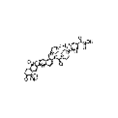 CC[C@@]1(O)C(=O)CCc2c1cc1n(c2=O)Cc2cc3c(CN4CCN(C)CC4)c(OC(=O)N4CCN(c5ncc(C(=O)NO)cn5)CC4)ccc3nc2-1